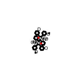 COc1cccc(C2=NC(c3ccccc3[N+](=O)[O-])(C3(c4ccccc4[N+](=O)[O-])N=C(c4cccc(OC)c4)C(c4cccc(OC)c4)=N3)N=C2c2cccc(OC)c2)c1